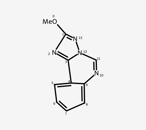 COc1nc2c3ccccc3ncn2n1